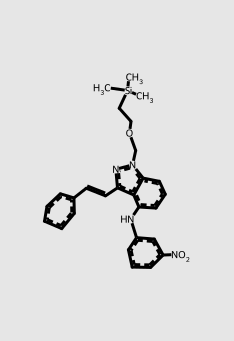 C[Si](C)(C)CCOCn1nc(C=Cc2ccccc2)c2c(Nc3cccc([N+](=O)[O-])c3)cccc21